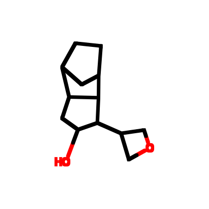 OC1CC2C3CCC(C3)C2C1C1COC1